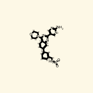 Nc1ncc(-c2nc(N3CCOCC3)c3ccc(-c4cccc(CN[SH](=O)=O)c4)cc3n2)cn1